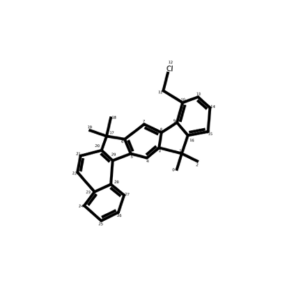 CC1(C)c2cc3c(cc2-c2c(CCl)cccc21)C(C)(C)c1ccc2ccccc2c1-3